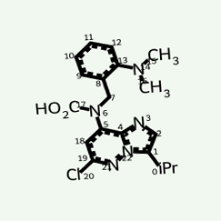 CC(C)c1cnc2c(N(Cc3ccccc3N(C)C)C(=O)O)cc(Cl)nn12